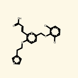 O=C(O)C=Cc1nc(CSc2c(Cl)cccc2Cl)ccc1OCCc1ccsc1